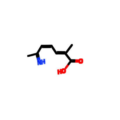 CC(=N)/C=C\C=C(/C)C(=O)O